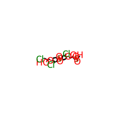 CCS(=O)(=O)CC(O)COc1ccc(S(=O)(=O)c2ccc(OCC(O)CCl)c(Cl)c2)cc1Cl